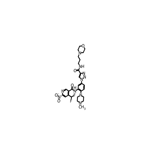 CN1CCN(c2ccc(-n3cc(C(=O)NCCCN4CCOCC4)nn3)cc2NC(=O)c2cnc([N+](=O)[O-])cc2C(F)F)CC1